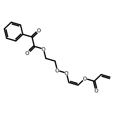 C=CC(=O)O/C=C\OOCCOC(=O)C(=O)c1ccccc1